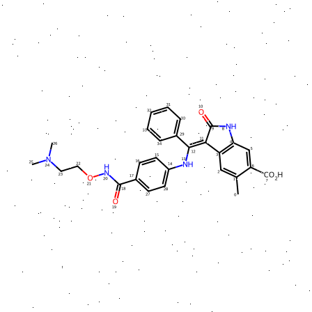 Cc1cc2c(cc1C(=O)O)NC(=O)/C2=C(/Nc1ccc(C(=O)NOCCN(C)C)cc1)c1ccccc1